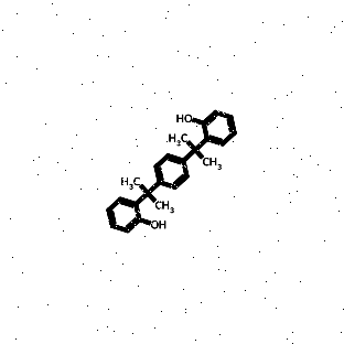 CC(C)(c1ccc(C(C)(C)c2ccccc2O)cc1)c1ccccc1O